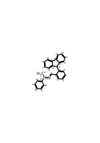 CN(N=Cc1ccccc1C1c2ccccc2-c2ccccc21)c1ccccc1